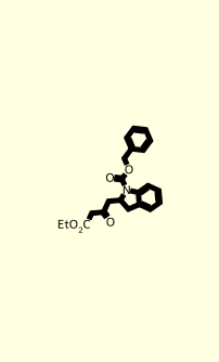 CCOC(=O)CC(=O)CC1Cc2ccccc2N1C(=O)OCc1ccccc1